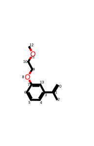 C=C(C)c1cccc(OCCOC)c1